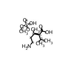 CC(CCN)=C(C(=O)O)C(C)C.COS(=O)(=O)O